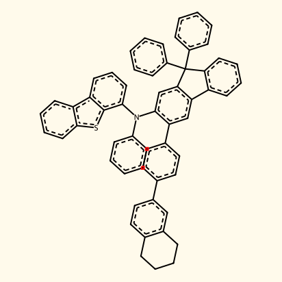 c1ccc(N(c2cc3c(cc2-c2ccc(-c4ccc5c(c4)CCCC5)cc2)-c2ccccc2C3(c2ccccc2)c2ccccc2)c2cccc3c2sc2ccccc23)cc1